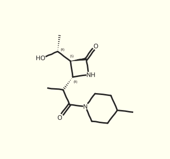 CC1CCN(C(=O)C(C)[C@H]2NC(=O)[C@@H]2[C@@H](C)O)CC1